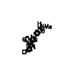 CNC(=O)Nc1ccc(-c2ncc3c(n2)N2CCOCC2C(=O)N3C2(c3ccc(Cl)cc3)CC2)cc1